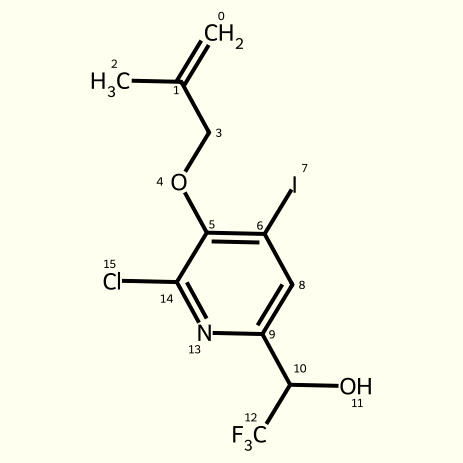 C=C(C)COc1c(I)cc(C(O)C(F)(F)F)nc1Cl